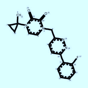 CC1(n2ccn(Cc3ccc(-c4ccccc4F)nn3)c(=O)c2=O)CC1